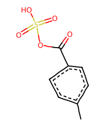 Cc1ccc(C(=O)OS(=O)(=O)O)cc1